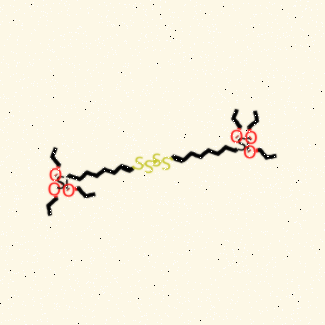 CCCO[Si](CCCCCCC=CSSSSC=CCCCCCC[Si](OCCC)(OCCC)OCCC)(OCCC)OCCC